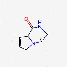 O=C1NCCN2CC=CC12